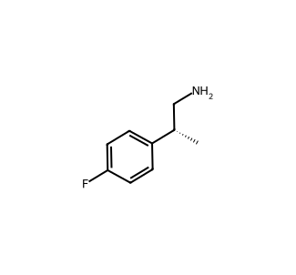 C[C@@H](CN)c1ccc(F)cc1